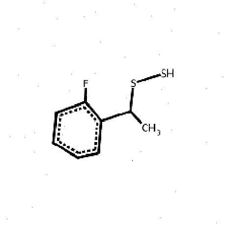 CC(SS)c1ccccc1F